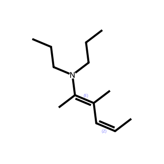 C/C=C\C(C)=C(/C)N(CCC)CCC